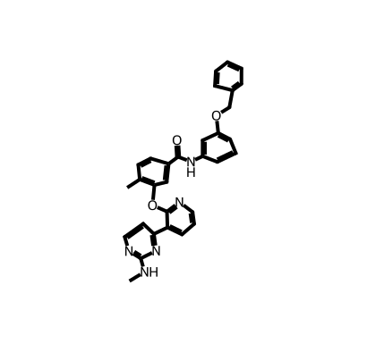 CNc1nccc(-c2cccnc2Oc2cc(C(=O)Nc3cccc(OCc4ccccc4)c3)ccc2C)n1